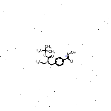 CCN(Cc1ccc(/C(Cl)=N/O)cc1)C(=O)OC(C)(C)C